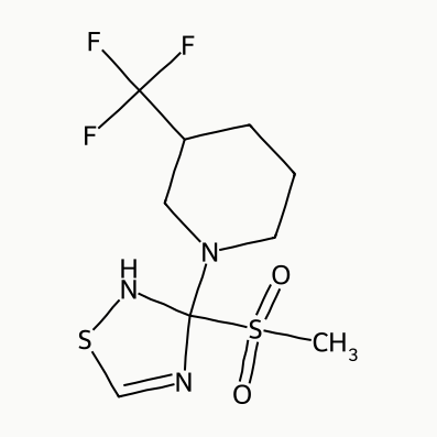 CS(=O)(=O)C1(N2CCCC(C(F)(F)F)C2)N=CSN1